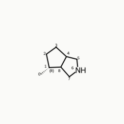 C[C@@H]1CCC2CNCC21